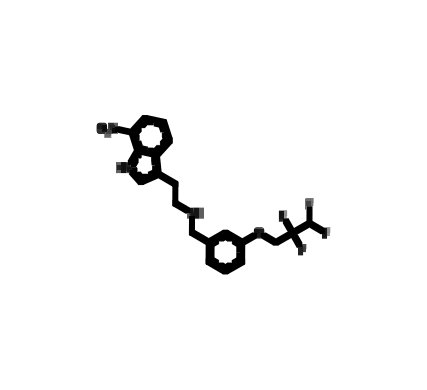 O=[N+]([O-])c1cccc2c(CCNCc3cccc(OCC(F)(F)C(F)F)c3)c[nH]c12